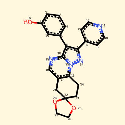 Oc1cccc(-c2c(-c3ccncc3)nn3c4c(cnc23)CC2(CC4)OCCO2)c1